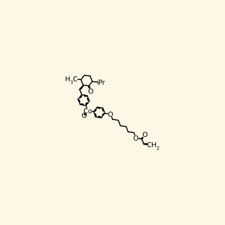 C=CC(=O)OCCCCCCOc1cc[c]([Co](=[O])[c]2ccc(C=C3C(=O)C(C(C)C)CCC3C)cc2)cc1